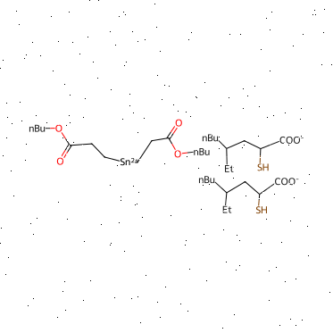 CCCCC(CC)CC(S)C(=O)[O-].CCCCC(CC)CC(S)C(=O)[O-].CCCCOC(=O)C[CH2][Sn+2][CH2]CC(=O)OCCCC